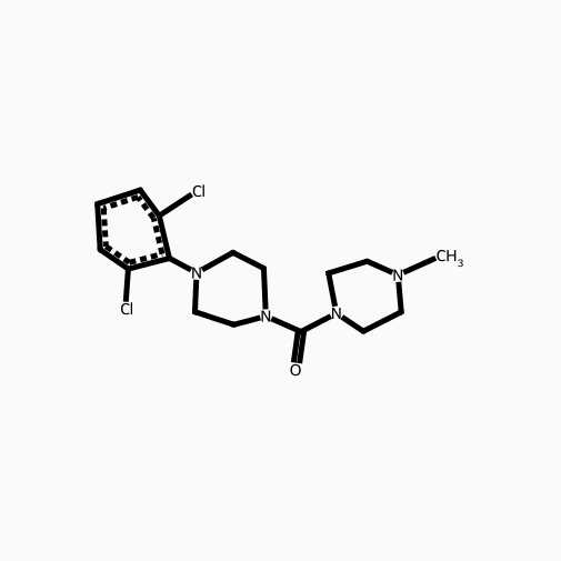 CN1CCN(C(=O)N2CCN(c3c(Cl)cccc3Cl)CC2)CC1